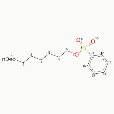 CCCCCCCCCCCCCCCCOS(=O)(=O)c1ccccc1